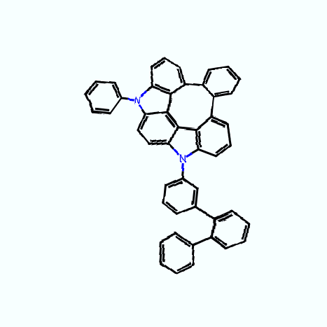 c1ccc(-c2ccccc2-c2cccc(-n3c4cccc5c6ccccc6c6cccc7c6c6c(c54)c3ccc6n7-c3ccccc3)c2)cc1